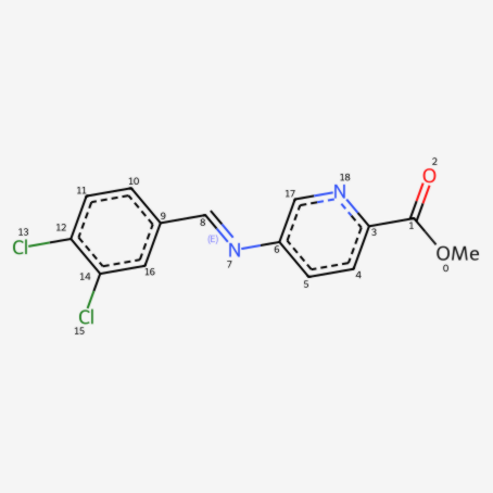 COC(=O)c1ccc(/N=C/c2ccc(Cl)c(Cl)c2)cn1